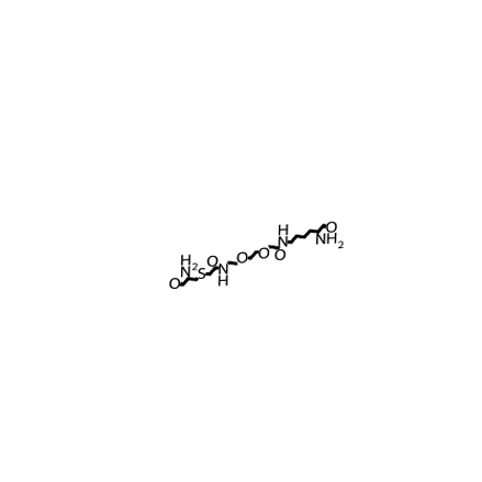 NC(C=O)CCCCNC(=O)COCCOCCNC(=O)CSCC(N)C=O